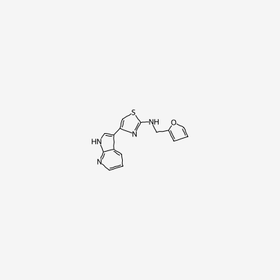 c1coc(CNc2nc(-c3c[nH]c4ncccc34)cs2)c1